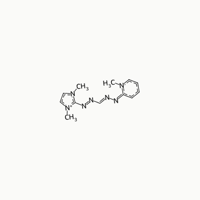 Cn1cc[n+](C)c1N=NC=NN=c1ccccn1C